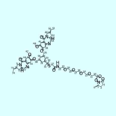 C=C1CCC(=O)N1OC(=O)CCOCCOCCOCCOCCNC(=O)CSC(C)(C)c1cc(COc2cc3c(cc2OC)C(=O)N2C/C(=C/C)C[C@H]2C=N3)cc(COc2cc3c(cc2OC)C(=O)N2C/C(=C/C)C[C@H]2C=N3)c1